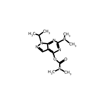 CC(C)n1ncc2c(OC(=O)N(C)C)nc(N(C)C)nc21